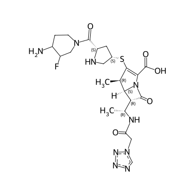 C[C@@H](NC(=O)Cn1cnnn1)[C@H]1C(=O)N2C(C(=O)O)=C(S[C@@H]3CN[C@H](C(=O)N4CCC(N)C(F)C4)C3)[C@H](C)[C@H]12